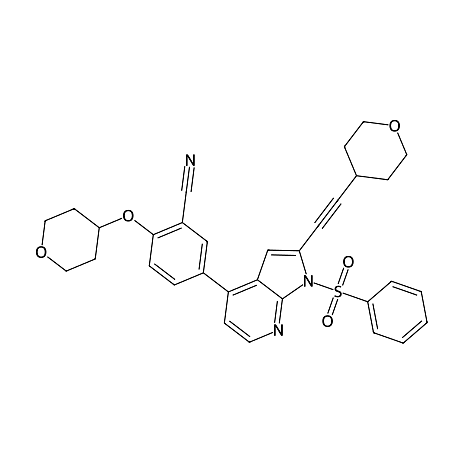 N#Cc1cc(-c2ccnc3c2cc(C#CC2CCOCC2)n3S(=O)(=O)c2ccccc2)ccc1OC1CCOCC1